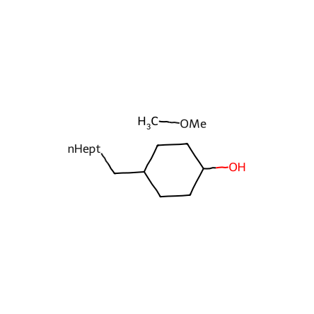 CCCCCCCCC1CCC(O)CC1.COC